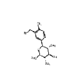 CS[C@H]1OC(c2ccc(C)c(CBr)c2)[C@H](OC(C)=O)[C@@H](O)[C@@H]1OC(C)=O